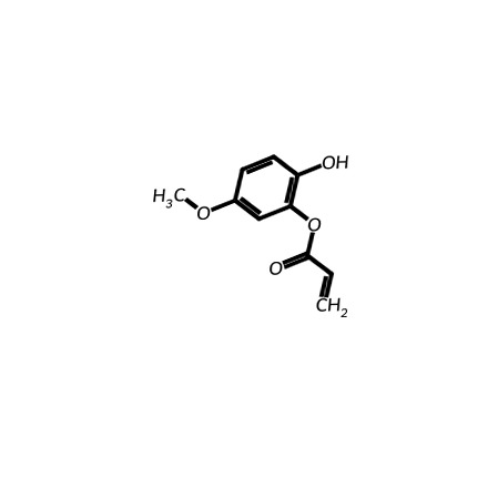 C=CC(=O)Oc1cc(OC)ccc1O